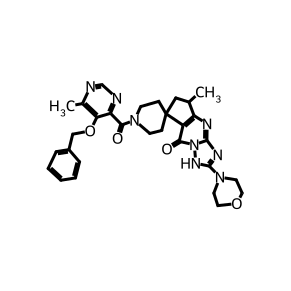 Cc1ncnc(C(=O)N2CCC3(CC2)CC(C)c2nc4nc(N5CCOCC5)[nH]n4c(=O)c23)c1OCc1ccccc1